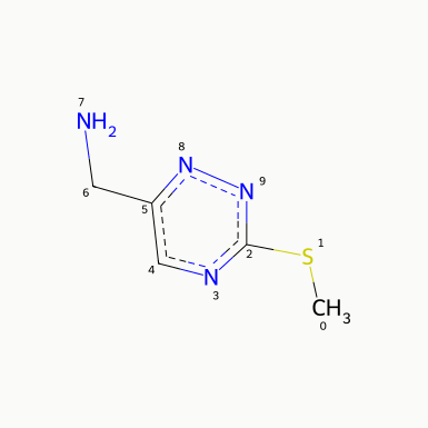 CSc1ncc(CN)nn1